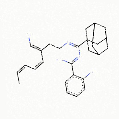 C\C=C/C=C\C(=C\N)CC/N=C(\N=C(/N)c1ccccc1N)C12CC3CC(CC(C3)C1)C2